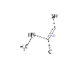 CN/C(Cl)=C\S